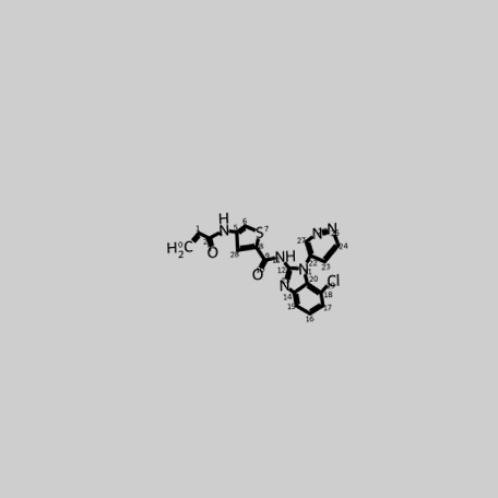 C=CC(=O)Nc1csc(C(=O)Nc2nc3cccc(Cl)c3n2-c2ccnnc2)c1